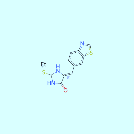 CCSC1NC(=O)/C(=C/c2ccc3ncsc3c2)N1